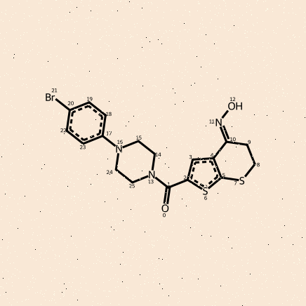 O=C(c1cc2c(s1)SCCC2=NO)N1CCN(c2ccc(Br)cc2)CC1